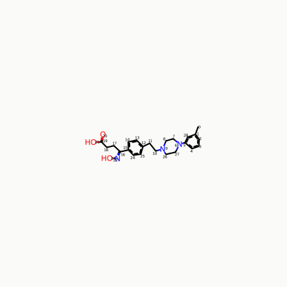 Cc1cccc(N2CCN(CCc3ccc(C(CCC(=O)O)=NO)cc3)CC2)c1